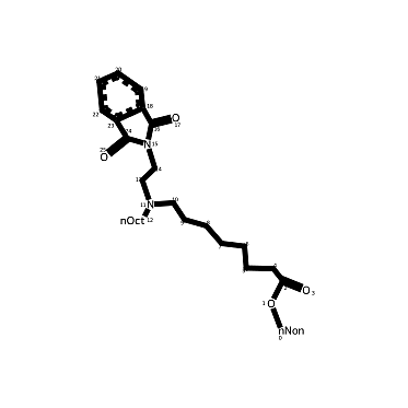 CCCCCCCCCOC(=O)CCCCCCCN(CCCCCCCC)CCN1C(=O)c2ccccc2C1=O